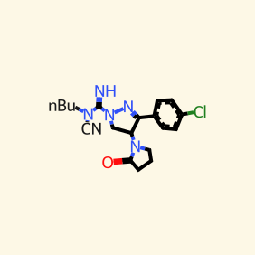 CCCCN(C#N)C(=N)N1CC(N2CCCC2=O)C(c2ccc(Cl)cc2)=N1